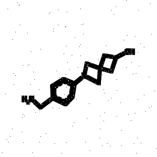 NCc1ccc(N2CC3(CC(O)C3)C2)cc1